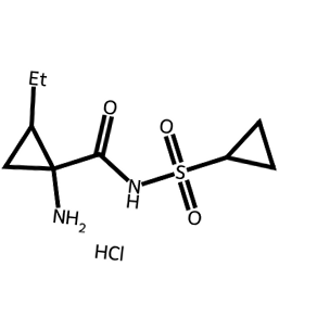 CCC1CC1(N)C(=O)NS(=O)(=O)C1CC1.Cl